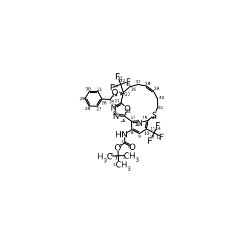 CC(C)(C)OC(=O)Nc1cc(C(F)(F)F)c2nc1-c1nnc(o1)[C@@](OCc1ccccc1)(C(F)(F)F)CCC=CCCS2